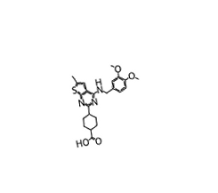 COc1ccc(CNc2nc(C3CCC(C(=O)O)CC3)nc3sc(C)cc23)cc1OC